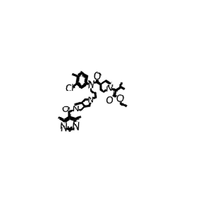 CCOC(=O)C(=C(C)C)N1CCC(C(=O)N(CCCN2CC3=CN(C(=O)c4c(C)ncnc4C)CC3C2)c2ccc(C)c(Cl)c2)CC1